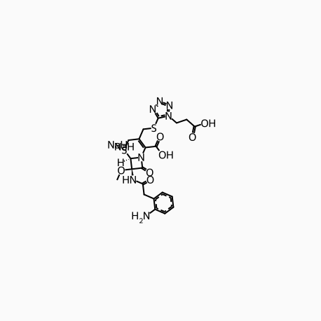 CO[C@@]1(NC(=O)Cc2ccccc2N)C(=O)N2C(C(=O)O)=C(CSc3nnnn3CCC(=O)O)CS[C@@H]21.[NaH].[NaH]